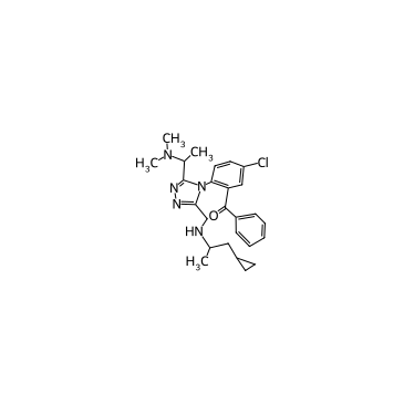 CC(CC1CC1)NCc1nnc(C(C)N(C)C)n1-c1ccc(Cl)cc1C(=O)c1ccccc1